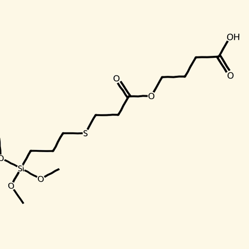 CO[Si](CCCSCCC(=O)OCCCC(=O)O)(OC)OC